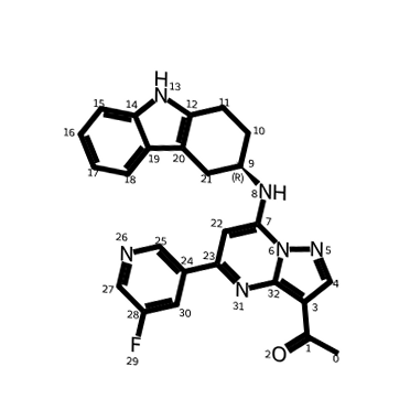 CC(=O)c1cnn2c(N[C@@H]3CCc4[nH]c5ccccc5c4C3)cc(-c3cncc(F)c3)nc12